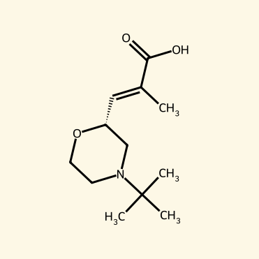 C/C(=C\[C@@H]1CN(C(C)(C)C)CCO1)C(=O)O